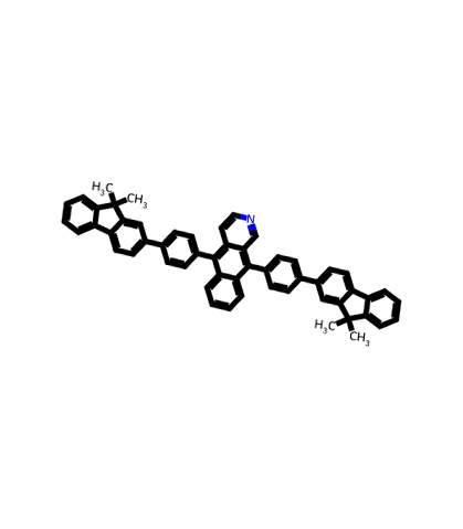 CC1(C)c2ccccc2-c2ccc(-c3ccc(-c4c5ccccc5c(-c5ccc(-c6ccc7c(c6)C(C)(C)c6ccccc6-7)cc5)c5cnccc45)cc3)cc21